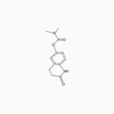 CN(C)C(=O)Oc1ccc2c(c1)CCC(=O)N2